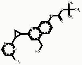 Cc1ccnc(C2CC2c2cc(CO)c3ccc(NC(=O)OC(C)(C)C)cc3n2)n1